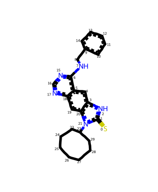 S=c1[nH]c2cc3c(NCc4ccccc4)ncnc3cc2n1C1CCCCCCC1